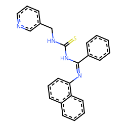 S=C(NCc1cccnc1)NC(=Nc1cccc2ccccc12)c1ccccc1